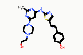 Cc1nc(Nc2ncc(/C=C/c3ccc(O)cc3)s2)cc(N2CCN(CCO)CC2)n1